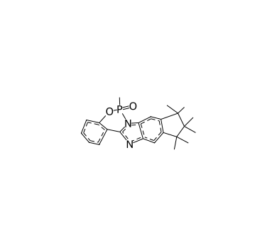 CC1(C)c2cc3nc4n(c3cc2C(C)(C)C1(C)C)P(C)(=O)Oc1ccccc1-4